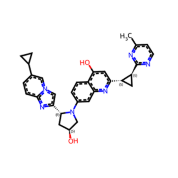 Cc1ccnc([C@H]2C[C@@H]2c2cc(O)c3ccc(N4C[C@@H](O)C[C@@H]4c4cn5cc(C6CC6)ccc5n4)cc3n2)n1